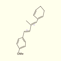 COc1ccc(/C=C/C(C)=C/C2=CCCC=C2)cc1